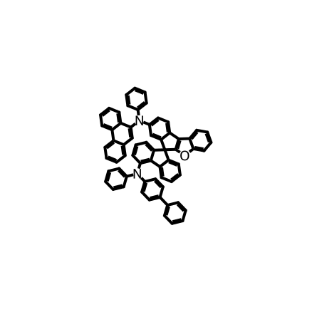 c1ccc(-c2ccc(N(c3ccccc3)c3cccc4c3-c3ccccc3C43c4cc(N(c5ccccc5)c5cc6ccccc6c6ccccc56)ccc4-c4c3oc3ccccc43)cc2)cc1